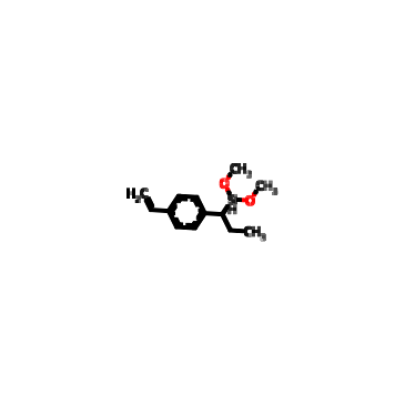 C=Cc1ccc(C(CC)[SiH](OC)OC)cc1